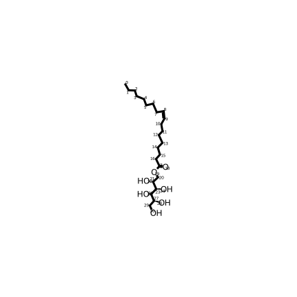 CCCCCCCC/C=C\CCCCCCCC(=O)OC[C@@H](O)[C@@H](O)[C@H](O)[C@@H](O)CO